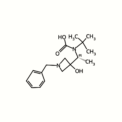 C[C@@H](N(C(=O)O)C(C)(C)C)C1(O)CN(Cc2ccccc2)C1